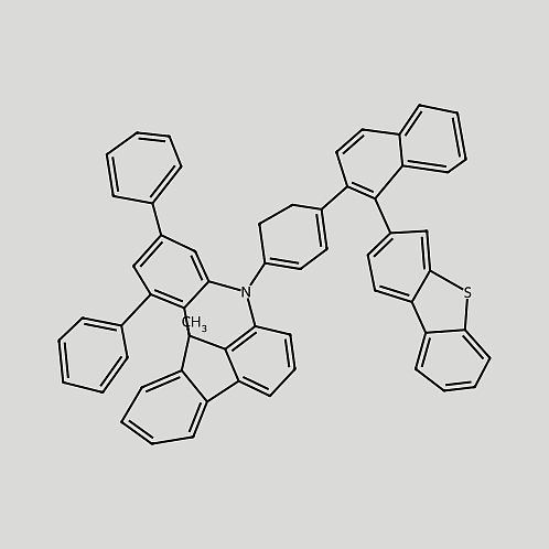 CC12c3ccccc3-c3cccc(c31)N(C1=CC=C(c3ccc4ccccc4c3-c3ccc4c(c3)sc3ccccc34)CC1)c1cc(-c3ccccc3)cc(-c3ccccc3)c12